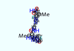 COc1cc(C(=O)NN2CCC(CCN3CCN(c4cc(OC)c(C5CCC(=O)NC5=O)cc4F)CC3)CC2)ccc1Nc1ncc2c(n1)N(C(C)C)CC(F)(F)C(=O)N2C